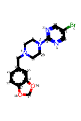 Brc1cnc(N2CCN(Cc3ccc4c(c3)OCO4)CC2)nc1